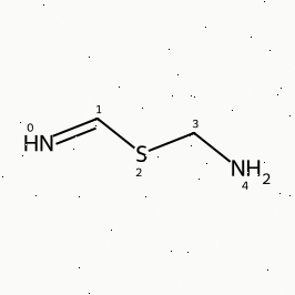 N=CSCN